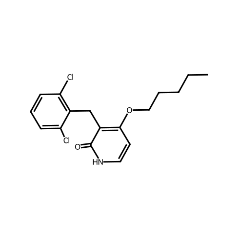 CCCCCOc1cc[nH]c(=O)c1Cc1c(Cl)cccc1Cl